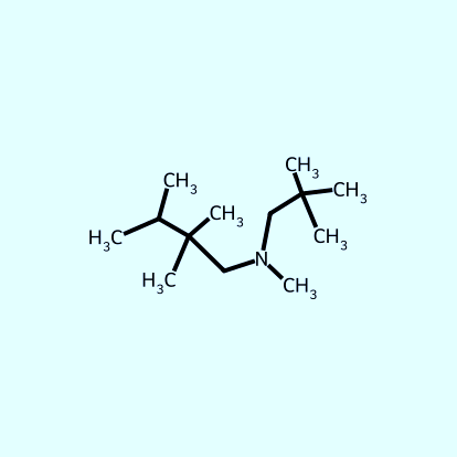 CC(C)C(C)(C)CN(C)CC(C)(C)C